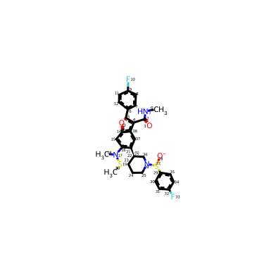 CNC(=O)c1c(-c2ccc(F)cc2)oc2cc(N(C)SC)c([C@@H]3CCCN([S+]([O-])c4ccc(F)cc4)C3)cc12